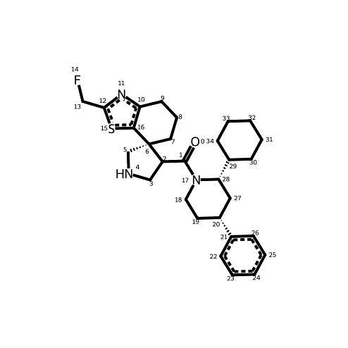 O=C(C1CNC[C@]12CCCc1nc(CF)sc12)N1CC[C@@H](c2ccccc2)C[C@H]1C1CCCCC1